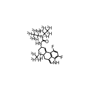 [2H]C([2H])([2H])N1C[C@@H](NC(=O)N(C([2H])([2H])C([2H])([2H])[2H])C([2H])([2H])C([2H])([2H])[2H])C=C2c3c(F)cc(F)c4[nH]cc(c34)C[C@H]21